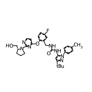 Cc1ccc(-n2nc(C(C)(C)C)cc2NC(=O)NCc2cc(F)ccc2Oc2ccnc(N3CCC[C@H]3CO)n2)cc1